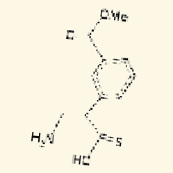 COC(=O)c1cccc(C(CN)C(O)=S)c1